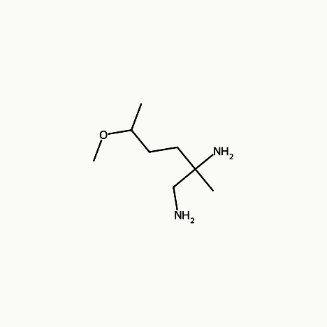 COC(C)CCC(C)(N)CN